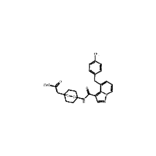 COC(=O)CC12CCC(NC(=O)c3cnn4cccc(Cc5ccc(C(F)(F)F)cc5)c34)(CC1)CC2